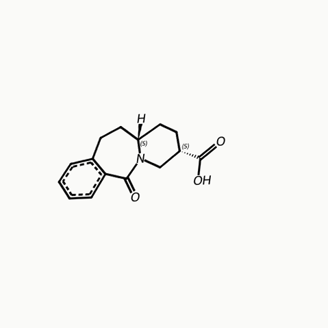 O=C(O)[C@H]1CC[C@H]2CCc3ccccc3C(=O)N2C1